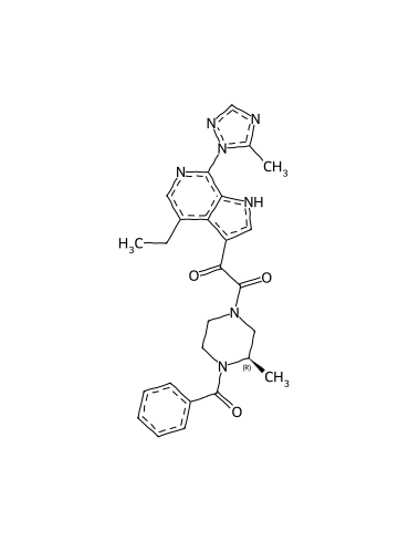 CCc1cnc(-n2ncnc2C)c2[nH]cc(C(=O)C(=O)N3CCN(C(=O)c4ccccc4)[C@H](C)C3)c12